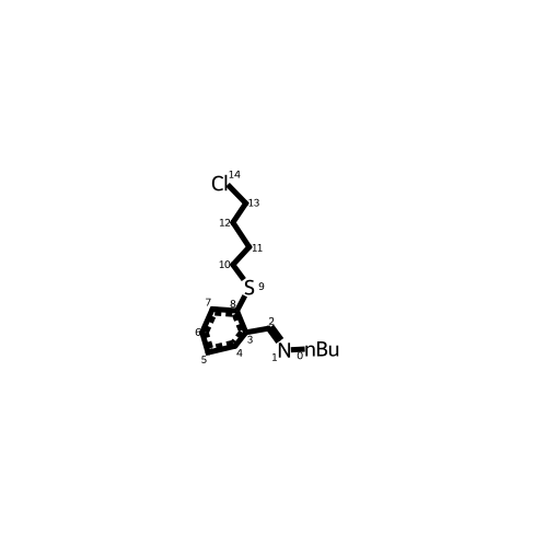 CCCCN=Cc1ccccc1SCCCCCl